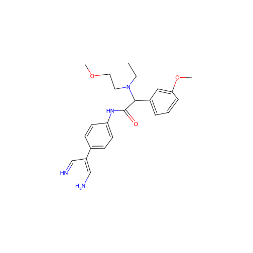 CCN(CCOC)C(C(=O)Nc1ccc(/C(C=N)=C/N)cc1)c1cccc(OC)c1